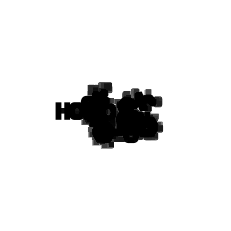 CCC(C)(C)c1ccc(CN(Cc2cccc(N(CC(=O)O)C(=O)OC(C)(C)C)n2)S(=O)(=O)c2ccccn2)s1